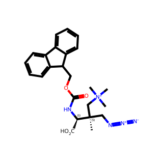 C[C@@](CN=[N+]=[N-])(C[N+](C)(C)C)[C@H](NC(=O)OCC1c2ccccc2-c2ccccc21)C(=O)O